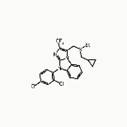 CCN(Cc1c(C(F)(F)F)nc2n(-c3ccc(Cl)cc3Cl)c3ccccc3n12)CC1CC1